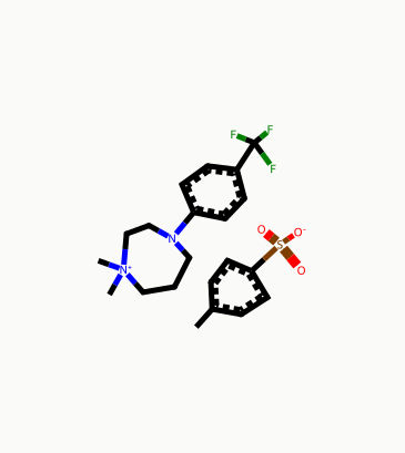 C[N+]1(C)CCCN(c2ccc(C(F)(F)F)cc2)CC1.Cc1ccc(S(=O)(=O)[O-])cc1